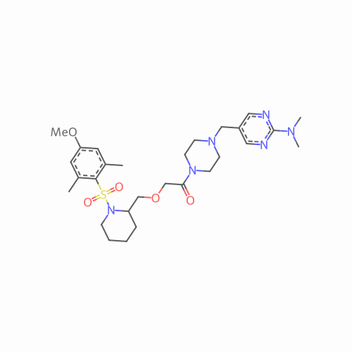 COc1cc(C)c(S(=O)(=O)N2CCCCC2COCC(=O)N2CCN(Cc3cnc(N(C)C)nc3)CC2)c(C)c1